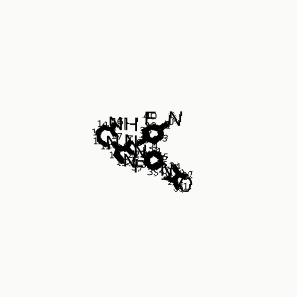 N#Cc1ccc(-c2nc3c(N4CCCCC(N)C4)ccnc3n2-c2ccc(N3CC4COCC4C3)cc2F)cc1F